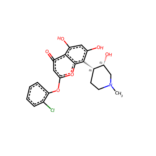 CN1CC[C@H](c2c(O)cc(O)c3c(=O)cc(Oc4ccccc4Cl)oc23)[C@H](O)C1